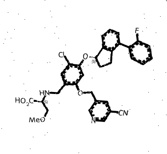 COC[C@H](NCc1cc(Cl)c(O[C@H]2CCc3c(-c4ccccc4F)cccc32)cc1OCc1cncc(C#N)c1)C(=O)O